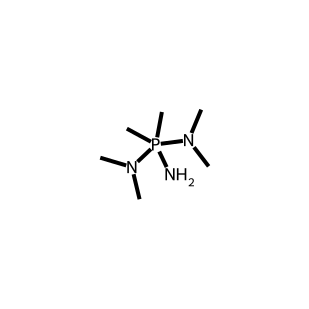 CN(C)P(C)(C)(N)N(C)C